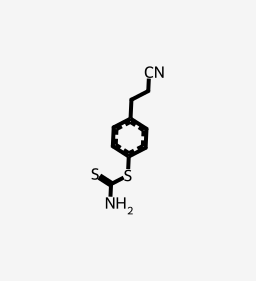 N#CCCc1ccc(SC(N)=S)cc1